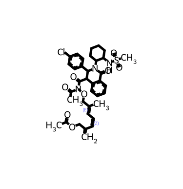 C=C(/C=C\C=C(/C)CON(C(C)=O)C(=O)C1c2ccccc2C(=O)N(C2CCCCC2NS(C)(=O)=O)C1c1ccc(Cl)cc1)COC(C)=O